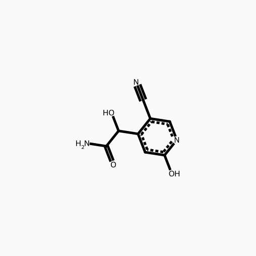 N#Cc1cnc(O)cc1C(O)C(N)=O